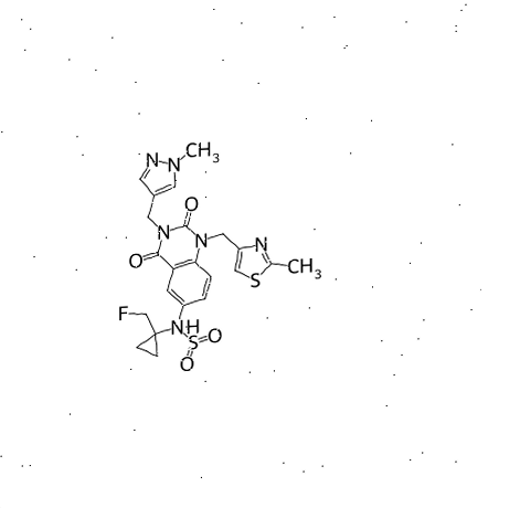 Cc1nc(Cn2c(=O)n(Cc3cnn(C)c3)c(=O)c3cc(N([SH](=O)=O)C4(CF)CC4)ccc32)cs1